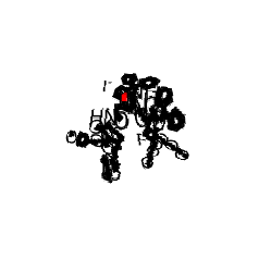 COCCOCOc1c(F)cc(C(ON=S2C=C(CC(=O)N[C@H]3C(=O)N4C(C(=O)OCc5ccc(OC)cc5)=C(C=CCn5cc[n+]6ccsc56)CSC34)N=C2NC(c2ccccc2)(c2ccccc2)c2ccccc2)C(=O)OC(c2ccccc2)c2ccccc2)c(F)c1OCOCCOC.[I-]